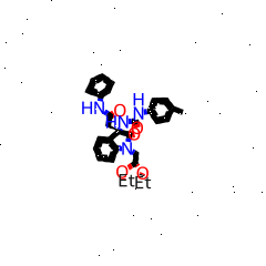 CCOC(CN1C(=O)[C@@](CC(=O)Nc2ccccc2)(NC(=O)Nc2ccc(C)cc2)c2ccccc21)OCC